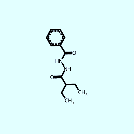 CCC(CC)C(=O)NNC(=O)c1ccccc1